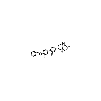 CC1CC[C@@H]2C[C@H](c3ccc(-c4ccc(OCc5ccccc5)c(F)c4)c(F)c3)CC[C@@H]2C1